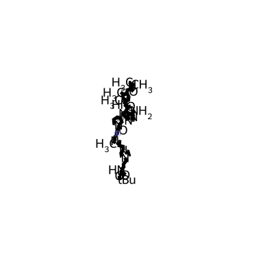 Cc1c(CC(=O)N(C)C)ccc(NC(=O)c2nn([C@@H]3CCCN(C(=O)/C=C/CN(C)CCCN4CCN(CCCNC(=O)OC(C)(C)C)CC4)C3)c3ncnc(N)c23)c1C